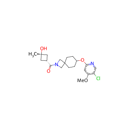 COc1cc(OC2CCC3(CC2)CN(C(=O)[C@H]2C[C@@](C)(O)C2)C3)ncc1Cl